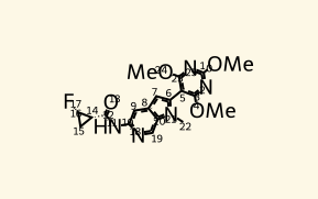 COc1nc(OC)c(-c2cc3cc(NC(=O)[C@@H]4C[C@@H]4F)ncc3n2C)c(OC)n1